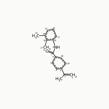 C=C(C)c1ccc(C(=O)Nc2cccc(C)c2C)cc1